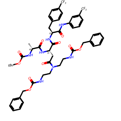 C[C@@H](NC(=O)OC(C)(C)C)C(=O)N[C@@H](CC(=O)N(CCNC(=O)OCc1ccccc1)CCNC(=O)OCc1ccccc1)C(=O)N[C@@H](Cc1ccc(C(F)(F)F)cc1)C(=O)Nc1cccc(C(F)(F)F)c1